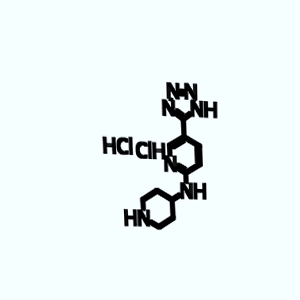 Cl.Cl.c1cc(NC2CCNCC2)ncc1-c1nnn[nH]1